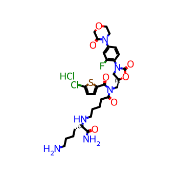 Cl.NCCCC[C@H](NCCCCC(=O)N(C[C@H]1CN(c2ccc(N3CCOCC3=O)cc2F)C(=O)O1)C(=O)c1ccc(Cl)s1)C(N)=O